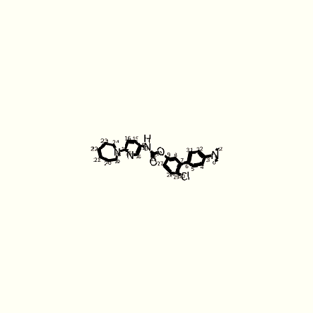 CN(C)c1ccc(-c2cc(OC(=O)Nc3ccc(N4CCCCCC4)nc3)ccc2Cl)cc1